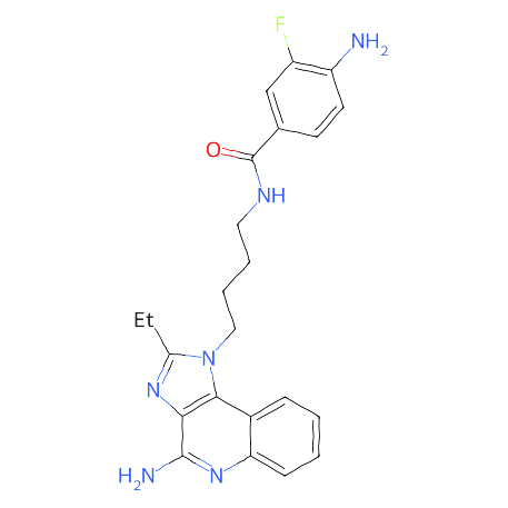 CCc1nc2c(N)nc3ccccc3c2n1CCCCNC(=O)c1ccc(N)c(F)c1